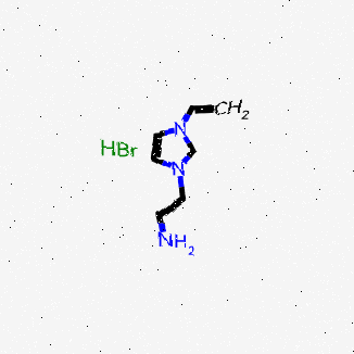 Br.C=CN1C=CN(CCN)C1